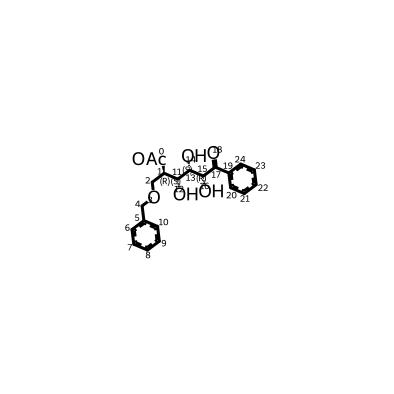 CC(=O)O[C@H](COCc1ccccc1)[C@@H](O)[C@H](O)[C@@H](O)C(=O)c1ccccc1